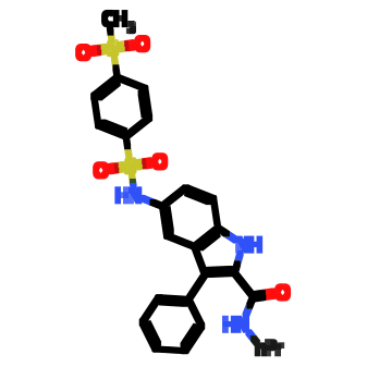 CCCNC(=O)c1[nH]c2ccc(NS(=O)(=O)c3ccc(S(C)(=O)=O)cc3)cc2c1-c1ccccc1